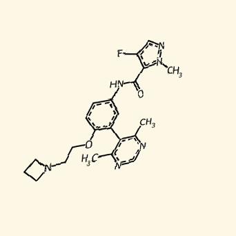 Cc1ncnc(C)c1-c1cc(NC(=O)c2c(F)cnn2C)ccc1OCCN1CCC1